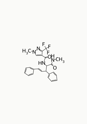 CNC(=O)C(NC(=O)c1cn(C)nc1C(F)(F)F)C(/C=C/c1ccccc1)c1ccccc1